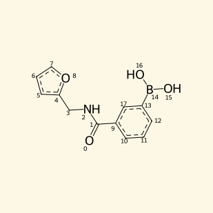 O=C(NCc1ccco1)c1cccc(B(O)O)c1